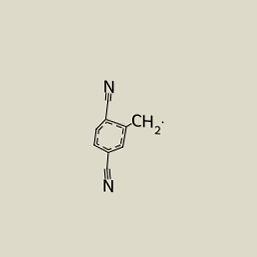 [CH2]c1cc(C#N)ccc1C#N